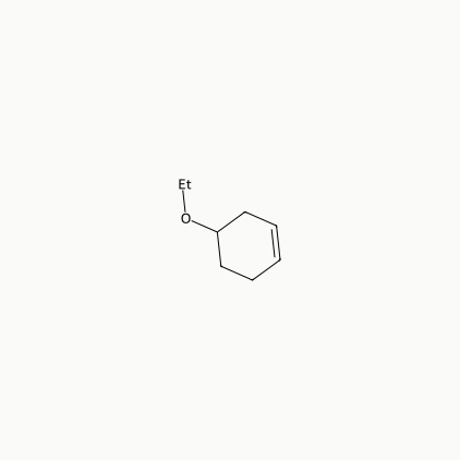 CCOC1CC=CCC1